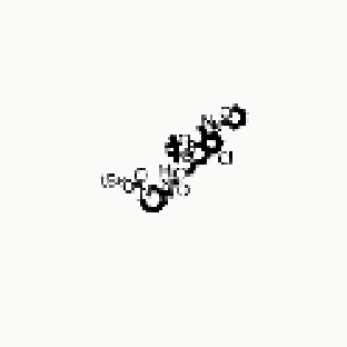 CC1(NC(=O)OCCCc2c(Cl)cc3c(cnn3C3CCCCO3)c2B2OC(C)(C)C(C)(C)O2)CCCCN(C(=O)OC(C)(C)C)C1